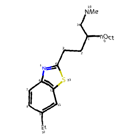 CCCCCCCCC(CCc1nc2ccc(CC)cc2s1)CNC